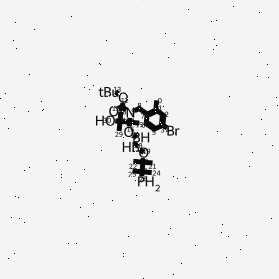 Cc1cc(Br)ccc1CN(C(=O)OC(C)(C)C)C(C)(OBBOC(C)(C)C(C)(C)P)C(C)(C)O